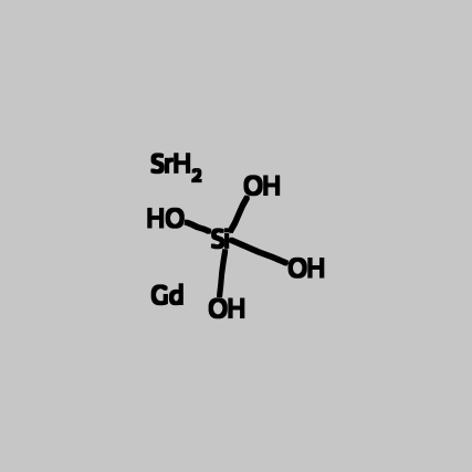 O[Si](O)(O)O.[Gd].[SrH2]